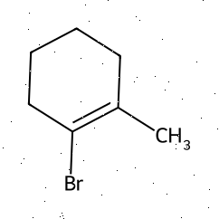 CC1=C(Br)CCCC1